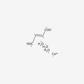 O.O.O.O=C([O-])/C=C/C(=O)[O-].[Ca+2]